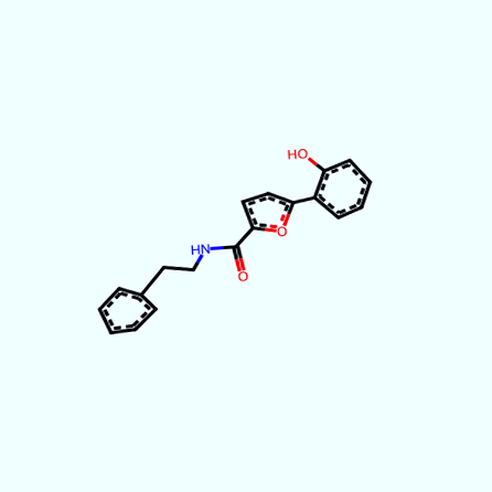 O=C(NCCc1ccccc1)c1ccc(-c2ccccc2O)o1